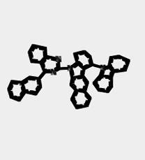 c1ccc2cc(-c3nc(-n4c5cc6ccccc6cc5c5c(-n6c7ccccc7c7ccccc76)cccc54)nc4ccccc34)ccc2c1